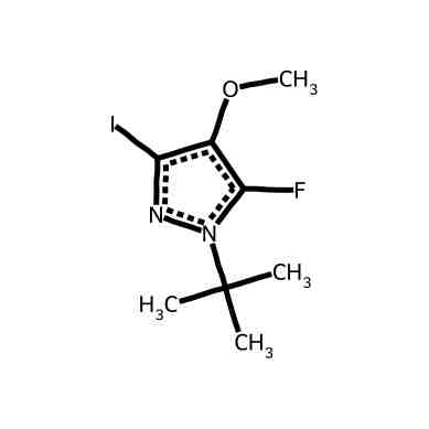 COc1c(I)nn(C(C)(C)C)c1F